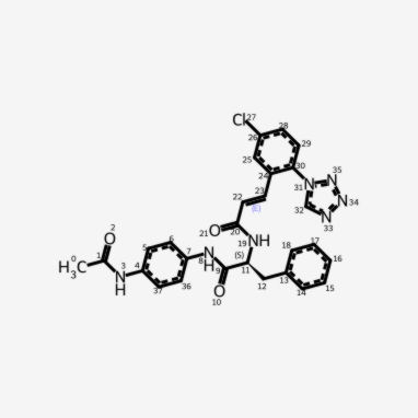 CC(=O)Nc1ccc(NC(=O)[C@H](Cc2ccccc2)NC(=O)/C=C/c2cc(Cl)ccc2-n2cnnn2)cc1